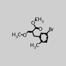 CO/C=C(\Cc1cc(Br)ccc1C)C(=O)OC